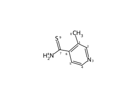 Cc1cnccc1C(N)=S